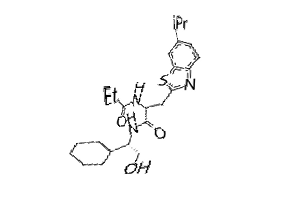 CCC(=O)NC(Cc1nc2ccc(C(C)C)cc2s1)C(=O)N[C@H](CO)C1CCCCC1